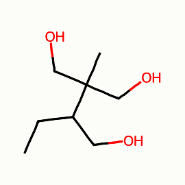 CCC(CO)C(C)(CO)CO